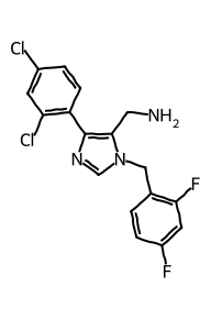 NCc1c(-c2ccc(Cl)cc2Cl)ncn1Cc1ccc(F)cc1F